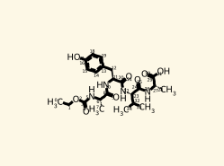 CCOC(=O)N[C@@H](C)C(=O)N[C@@H](Cc1ccc(O)cc1)C(=O)N[C@H](C(=O)N[C@@H](C)C(=O)O)C(C)C